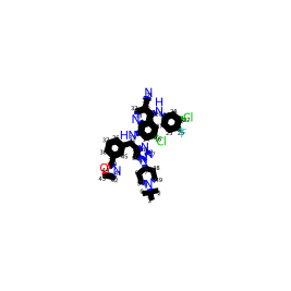 CC(C)(C)N1CCC(n2cc([C@@H](Nc3cc(Cl)cc4c(Nc5ccc(F)c(Cl)c5)c(C#N)cnc34)c3cccc(-c4ncco4)c3)nn2)CC1